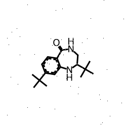 CC(C)(C)c1ccc2c(c1)NC(C(C)(C)C)CNC2=O